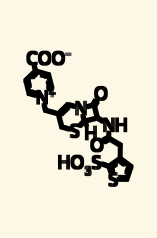 O=C(Cc1ccsc1S(=O)(=O)O)NC1C(=O)N2C=C(C[n+]3ccc(C(=O)[O-])cc3)CS[C@@H]12